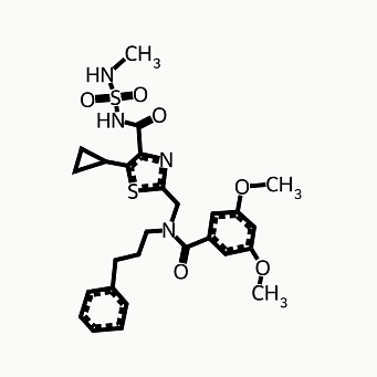 CNS(=O)(=O)NC(=O)c1nc(CN(CCCc2ccccc2)C(=O)c2cc(OC)cc(OC)c2)sc1C1CC1